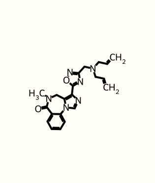 C=CCN(CC=C)Cc1noc(-c2ncn3c2CN(C)C(=O)c2ccccc2-3)n1